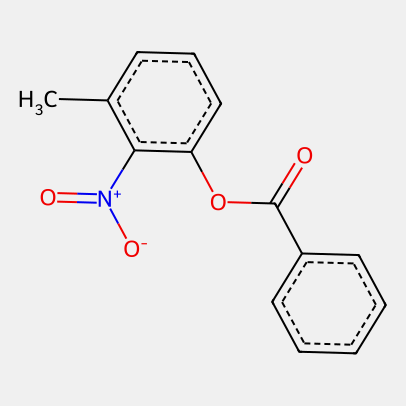 Cc1cccc(OC(=O)c2ccccc2)c1[N+](=O)[O-]